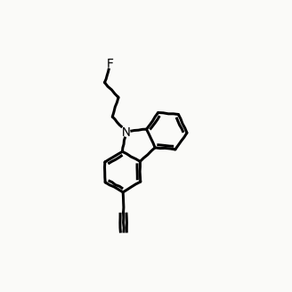 C#Cc1ccc2c(c1)c1ccccc1n2CCCF